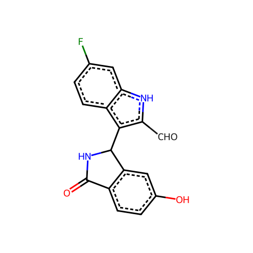 O=Cc1[nH]c2cc(F)ccc2c1C1NC(=O)c2ccc(O)cc21